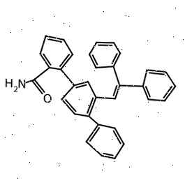 NC(=O)c1ccccc1-c1ccc(-c2ccccc2)c(C=C(c2ccccc2)c2ccccc2)c1